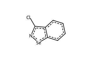 Clc1n[se]c2ccccc12